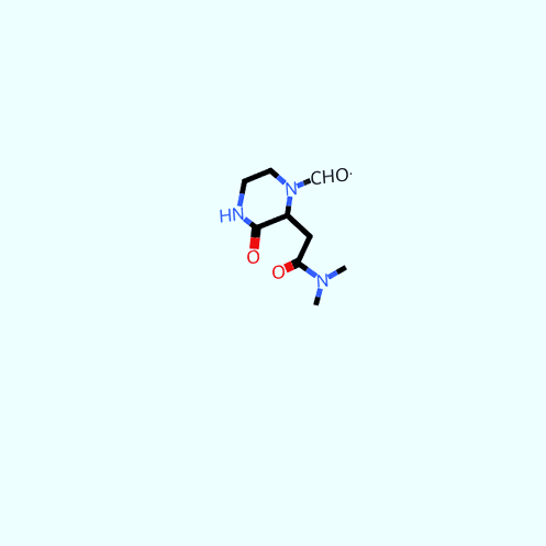 CN(C)C(=O)CC1C(=O)NCCN1[C]=O